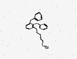 BrCCCCCCc1cccc(Cc2ccccc2)c1Cc1ccccc1